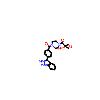 O=C(c1ccc(C2NNc3ccccc32)cc1)N1CCN(C(=O)C2(O)COC2)CC1